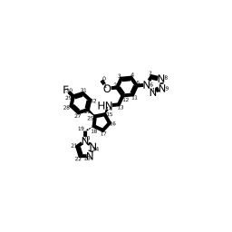 COc1ccc(-n2cnnn2)cc1CN[C@H]1CC[C@H](Cn2ccnn2)[C@H]1c1ccc(F)cc1